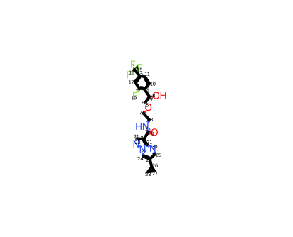 O=C(NCCOC[C@@H](O)c1ccc(C(F)(F)F)cc1F)c1cnn2cc(C3CC3)cnc12